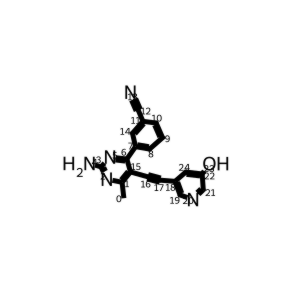 Cc1nc(N)nc(-c2cccc(C#N)c2)c1C#Cc1cncc(O)c1